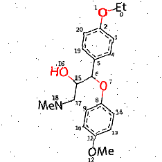 CCOc1ccc(C(Oc2ccc(OC)cc2)C(O)CNC)cc1